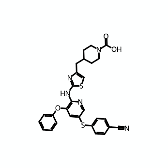 N#Cc1ccc(Sc2cnc(Nc3nc(CC4CCN(C(=O)O)CC4)cs3)c(Oc3ccccc3)c2)cc1